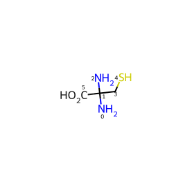 NC(N)(CS)C(=O)O